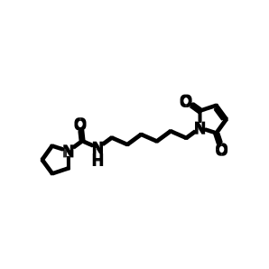 O=C(NCCCCCCN1C(=O)C=CC1=O)N1CCCC1